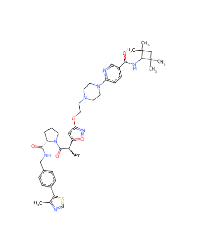 Cc1ncsc1-c1ccc(CNC(=O)[C@@H]2CCCN2C(=O)[C@@H](c2cc(OCCN3CCN(c4ccc(C(=O)NC5C(C)(C)CC5(C)C)cn4)CC3)no2)C(C)C)cc1